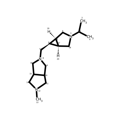 CC(C)N1C[C@@H]2[C@H](CN3CC4CN(C)CC4C3)[C@@H]2C1